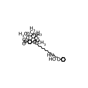 COC(=O)C1=C(C)NC(C)=C(C(=O)OC)C1c1cc([N+](=O)[O-])ccc1OCCCCCCCCCCNCC(O)COc1ccccc1